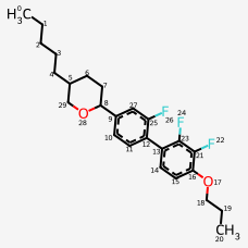 CCCCCC1CCC(c2ccc(-c3ccc(OCCC)c(F)c3F)c(F)c2)OC1